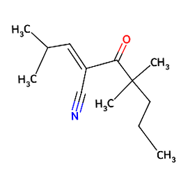 CCCC(C)(C)C(=O)/C(C#N)=C/C(C)C